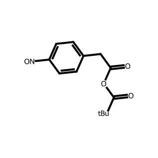 CC(C)(C)C(=O)OC(=O)Cc1ccc(N=O)cc1